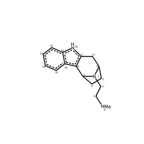 CNCCN1C2CCC1c1c([nH]c3ccccc13)C2